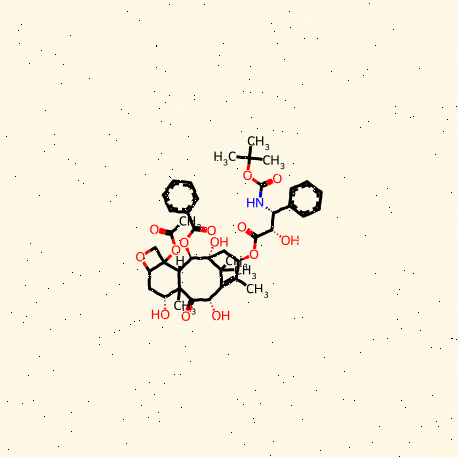 CC(=O)OC12COC1C[C@@H](O)C1(C)C(=O)[C@@H](O)C3=C(C)[C@H](OC(=O)[C@@H](O)[C@H](NC(=O)OC(C)(C)C)c4ccccc4)C[C@](O)([C@H](OC(=O)c4ccccc4)[C@@H]21)C3(C)C